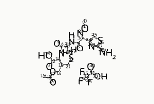 CON=C(C(=O)N[C@H]1C(=O)N2C(C(=O)O)=C(COC(C)=O)CS[C@H]12)c1csc(N)n1.O=C(O)C(F)(F)F